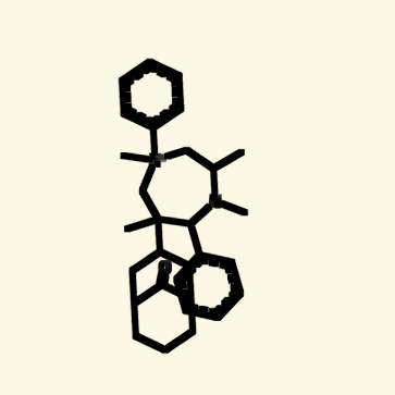 CC1C[N+](C)(c2ccccc2)CC(C)(C2CC3CCCC(C2)C3=O)C(c2ccccc2)N1C